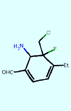 CCC1=CC=C(C=O)C(N)C1(F)CCl